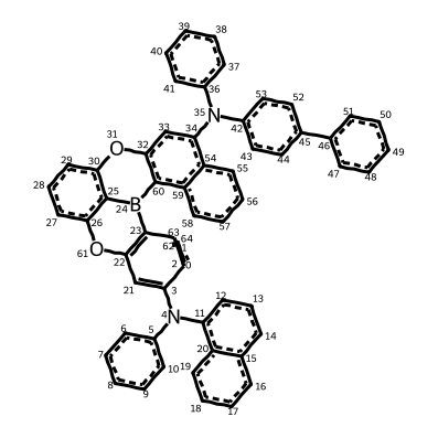 C1=CC2C(N(c3ccccc3)c3cccc4ccccc34)=CC3=C(B4c5c(cccc5Oc5cc(N(c6ccccc6)c6ccc(-c7ccccc7)cc6)c6ccccc6c54)O3)C2C=C1